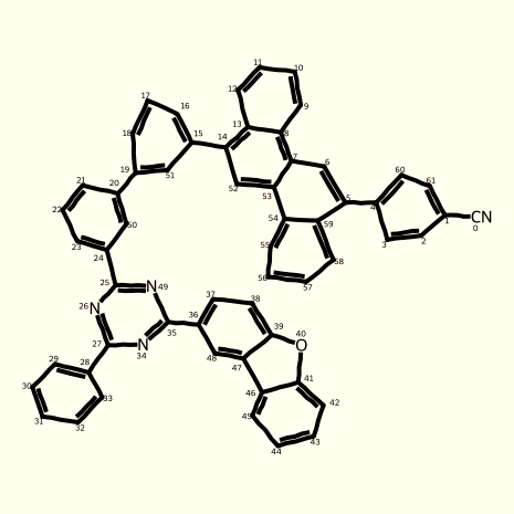 N#Cc1ccc(-c2cc3c4ccccc4c(-c4cccc(-c5cccc(-c6nc(-c7ccccc7)nc(-c7ccc8oc9ccccc9c8c7)n6)c5)c4)cc3c3ccccc23)cc1